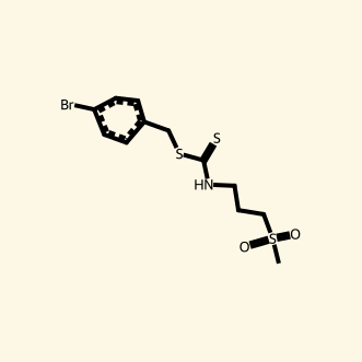 CS(=O)(=O)CCCNC(=S)SCc1ccc(Br)cc1